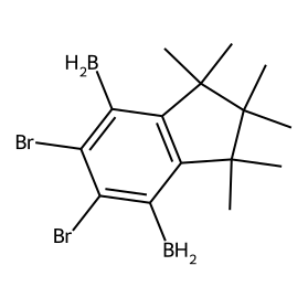 Bc1c(Br)c(Br)c(B)c2c1C(C)(C)C(C)(C)C2(C)C